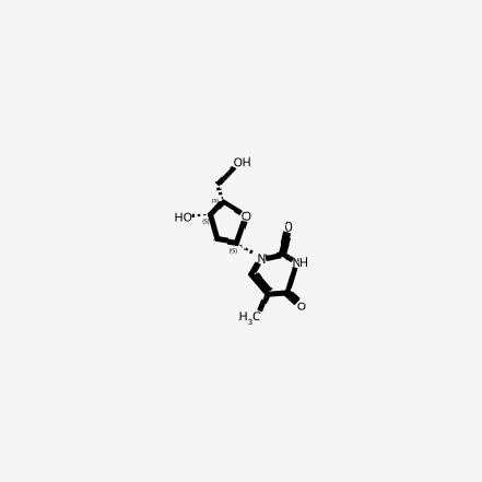 Cc1cn([C@@H]2C[C@H](O)[C@H](CO)O2)c(=O)[nH]c1=O